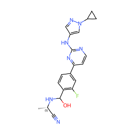 C[C@@H](C#N)NC(O)c1ccc(-c2ccnc(Nc3cnn(C4CC4)c3)n2)cc1F